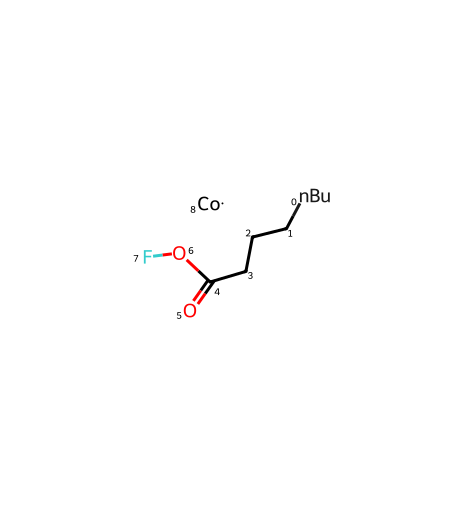 CCCCCCCC(=O)OF.[Co]